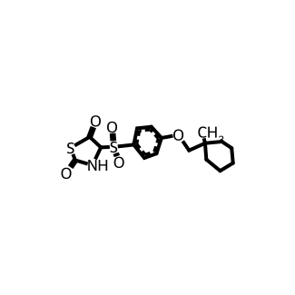 CC1(COc2ccc(S(=O)(=O)C3NC(=O)SC3=O)cc2)CCCCC1